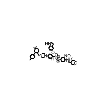 Cc1ccc(C2=C(CN3CCN(c4ccc(C(=O)NS(=O)(=O)c5ccc(NCC6CCOCC6)c([N+](=O)[O-])c5)c(Oc5ccc6[nH]ccc6c5)c4)CC3)CCC(C)(C)C2)cc1